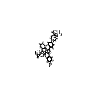 CN=S1(=O)CCN(c2ccc(-c3sc(-c4ccc(F)cc4)nc3[C@@H]3CCCC[C@H]3C(=O)NC3(C#N)CC3)cc2)CC1